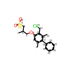 Cc1cc(OCC(C)C[SH](=O)=O)c(CCl)c(C)c1-c1ccccc1